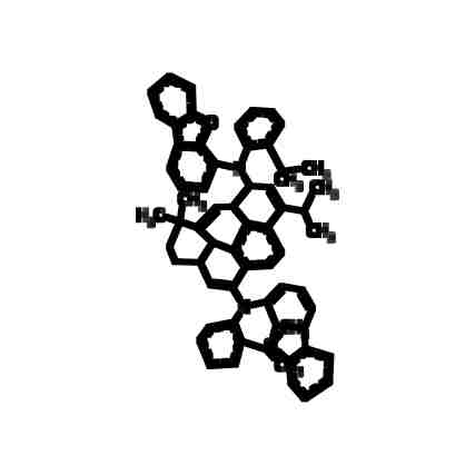 CC(C)C1=CC(N(c2ccccc2C(C)C)c2cccc3c2oc2ccccc23)C2C=C3C4c5c(ccc1c52)C(N(C1=CC=CC2c5ccccc5OC12)c1ccccc1C(C)C)=CC4CCC3(C)C